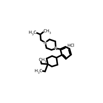 CCC1(CC)CCC(c2ccccc2N2CCN(CC(C)C)CC2)CC1.Cl